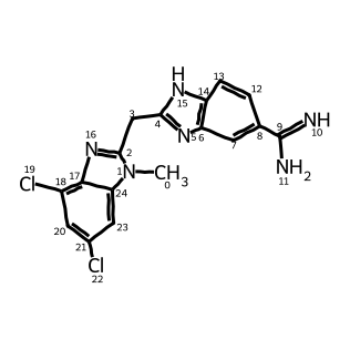 Cn1c(Cc2nc3cc(C(=N)N)ccc3[nH]2)nc2c(Cl)cc(Cl)cc21